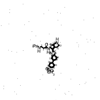 CC(C)NCCC(=O)Nc1sc2c(c1-c1nc3cc(-c4ccc(S(C)(=O)=O)cc4)ccc3s1)CCNC2